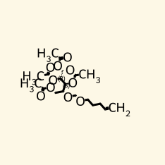 C=CCCCOCOC(COC(C)=O)[C@H](OC(C)=O)[C@@H](COC(C)=O)OC(C)=O